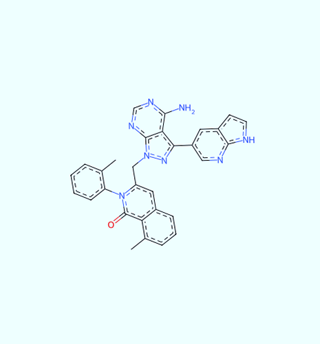 Cc1ccccc1-n1c(Cn2nc(-c3cnc4[nH]ccc4c3)c3c(N)ncnc32)cc2cccc(C)c2c1=O